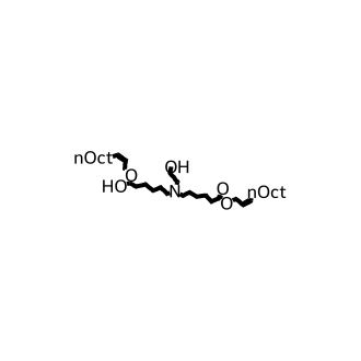 CCCCCCCC/C=C\COC(=O)CCCCCN(CCO)CCCCCC(O)OC/C=C\CCCCCCCC